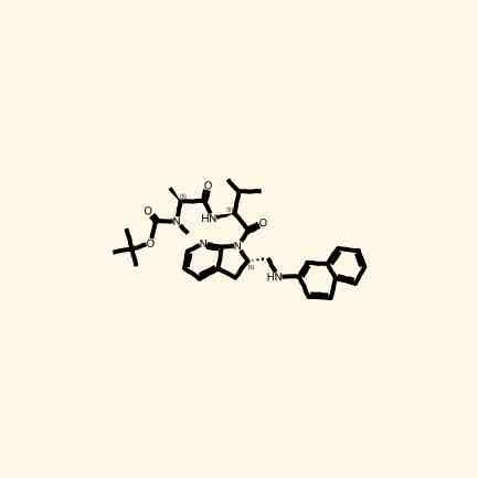 CC(C)[C@H](NC(=O)[C@H](C)N(C)C(=O)OC(C)(C)C)C(=O)N1c2ncccc2C[C@H]1CNc1ccc2ccccc2c1